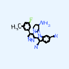 Cc1cc(F)cc(-c2cnnc(-c3[nH]c4cc(C#N)ccc4c3C#N)c2N2CCC(N)CC2)c1